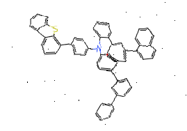 c1ccc(-c2cccc(-c3ccc(N(c4ccc(-c5cccc6c5sc5ccccc56)cc4)c4ccccc4-c4cccc(-c5cccc6ccccc56)c4)cc3)c2)cc1